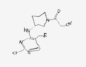 N#CCC(=O)N1CC[C@@H](Nc2nc(Cl)ncc2F)C1